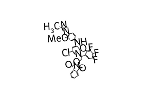 COc1cc(Nc2cc(Cl)cn(C(CON3C(=O)c4ccccc4C3=O)c3cc(F)c(F)c(F)c3)c2=O)ccc1-n1cnc(C)c1